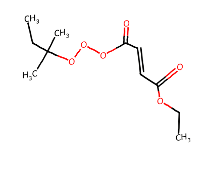 CCOC(=O)/C=C/C(=O)OOOC(C)(C)CC